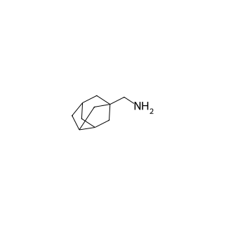 NCC12CC3CC(C1)C(C3)C2